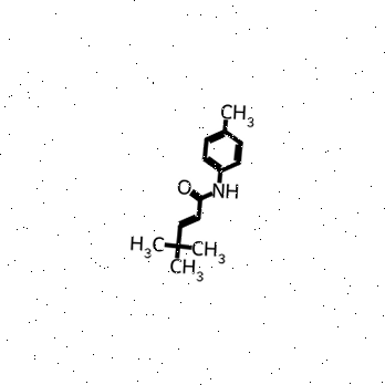 Cc1ccc(NC(=O)/C=C/C(C)(C)C)cc1